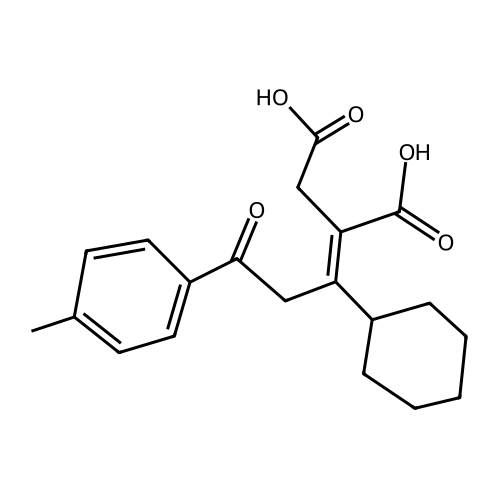 Cc1ccc(C(=O)CC(=C(CC(=O)O)C(=O)O)C2CCCCC2)cc1